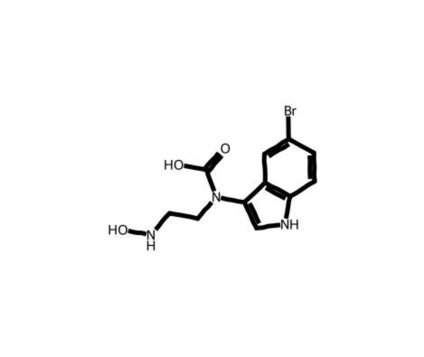 O=C(O)N(CCNO)c1c[nH]c2ccc(Br)cc12